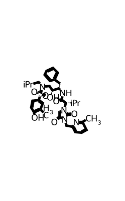 Cc1cccc(CN2C(=O)CN([C@H](C(=O)N[C@@H](Cc3ccccc3)[C@H](O)CN(CC(C)C)S(=O)(=O)c3ccc(O)c(C)c3)C(C)C)C2=O)n1